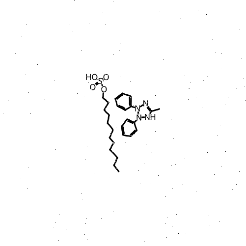 CC1=NN(c2ccccc2)N(c2ccccc2)N1.CCCCCCCCCCCCOS(=O)(=O)O